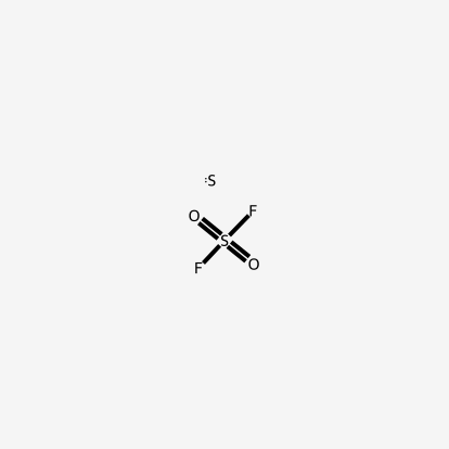 O=S(=O)(F)F.[S]